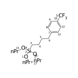 CCCO[Si](CCCCc1ccc(C(F)(F)F)cc1)(OCCC)OCCC